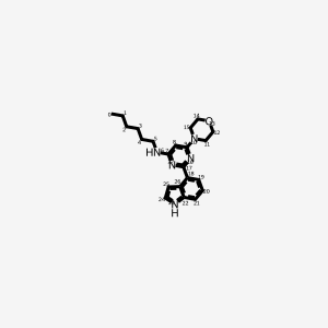 CCCCCCNc1cc(N2CCOCC2)nc(-c2cccc3[nH]ccc23)n1